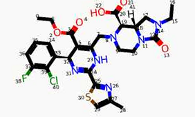 CCOC(=O)C1=C(CN2CCN3C(=O)N(CC)C[C@H]3[C@@H]2C(=O)O)NC(c2nc(C)cs2)=N[C@H]1c1cccc(F)c1Cl